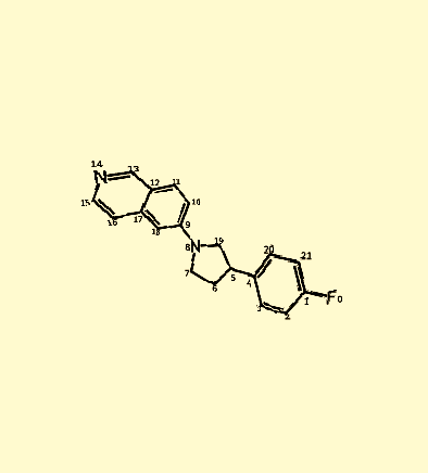 Fc1ccc(C2CCN(c3ccc4cnccc4c3)C2)cc1